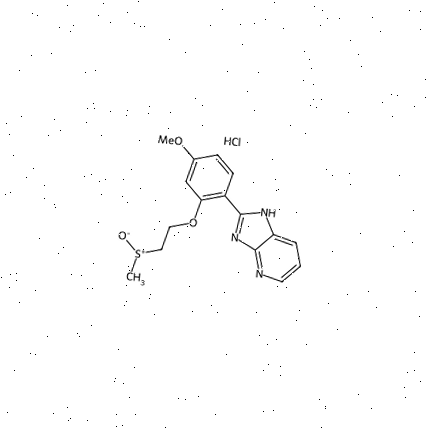 COc1ccc(-c2nc3ncccc3[nH]2)c(OCC[S+](C)[O-])c1.Cl